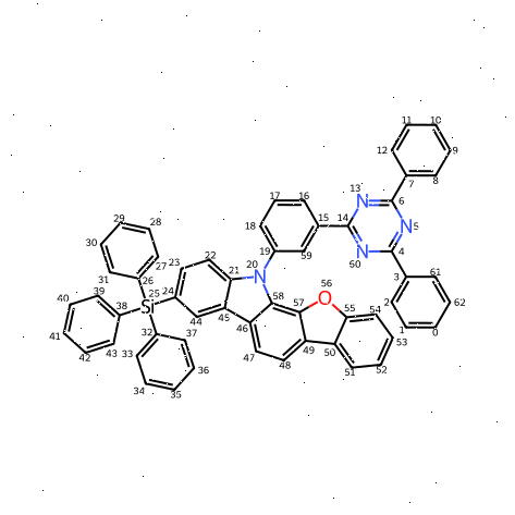 c1ccc(-c2nc(-c3ccccc3)nc(-c3cccc(-n4c5ccc([Si](c6ccccc6)(c6ccccc6)c6ccccc6)cc5c5ccc6c7ccccc7oc6c54)c3)n2)cc1